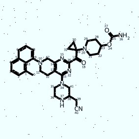 Cc1cccc2cccc(N3CCc4c(nc(C(=O)C5(N6CCC(OC(N)=O)CC6)CC5)nc4N4CCNC(CC#N)C4)C3)c12